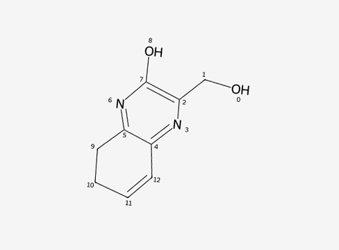 OCc1nc2c(nc1O)CCC=C2